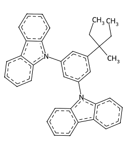 CCC(C)(CC)c1cc(-n2c3ccccc3c3ccccc32)cc(-n2c3ccccc3c3ccccc32)c1